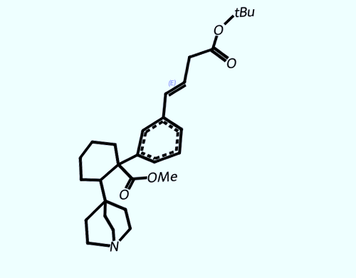 COC(=O)C1(c2cccc(/C=C/CC(=O)OC(C)(C)C)c2)CCCCC1C12CCN(CC1)CC2